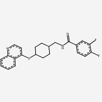 O=C(NCC1CCC(Oc2ccnc3ccccc23)CC1)c1ccc(F)c(F)c1